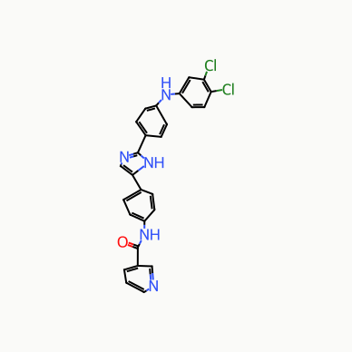 O=C(Nc1ccc(-c2cnc(-c3ccc(Nc4ccc(Cl)c(Cl)c4)cc3)[nH]2)cc1)c1cccnc1